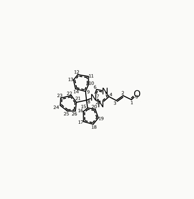 O=C/C=C/c1ncn(C(c2ccccc2)(c2ccccc2)c2ccccc2)n1